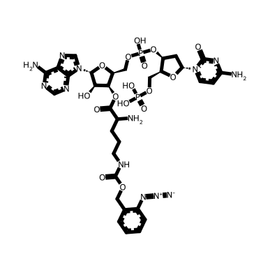 [N-]=[N+]=Nc1ccccc1COC(=O)NCCCC(N)C(=O)O[C@H]1[C@@H](O)[C@H](n2cnc3c(N)ncnc32)O[C@H]1COP(=O)(O)O[C@H]1C[C@H](n2ccc(N)nc2=O)O[C@H]1COP(=O)(O)O